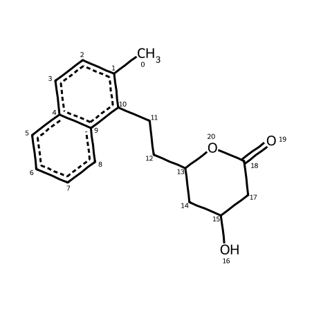 Cc1ccc2ccccc2c1CCC1CC(O)CC(=O)O1